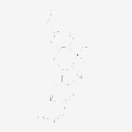 C/N=C\c1ccc2c3c([nH]c2c1)C(C)(C)c1ccc(OC)cc1C3